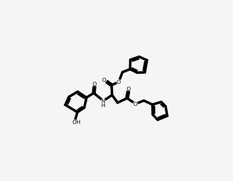 O=C(CC(NC(=O)c1cccc(O)c1)C(=O)OCc1ccccc1)OCc1ccccc1